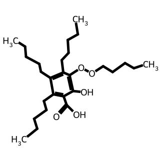 CCCCCOOc1c(O)c(C(=O)O)c(CCCCC)c(CCCCC)c1CCCCC